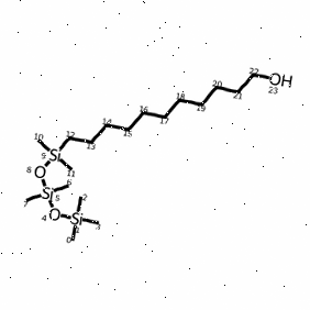 C[Si](C)(C)O[Si](C)(C)O[Si](C)(C)CCCCCCCCCCCO